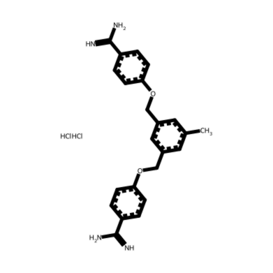 Cc1cc(COc2ccc(C(=N)N)cc2)cc(COc2ccc(C(=N)N)cc2)c1.Cl.Cl